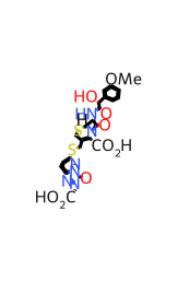 COc1cccc(C(O)C(=O)NC2C(=O)N3C(C(=O)O)=C(CSc4ccc5nn(CC(=O)O)c(=O)n5n4)CS[C@@H]23)c1